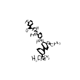 COc1ccc(-c2cccc(C(C)(C)N=O)c2)cc1SNc1cccc(NCCNC(=O)c2cccc(F)c2)c1